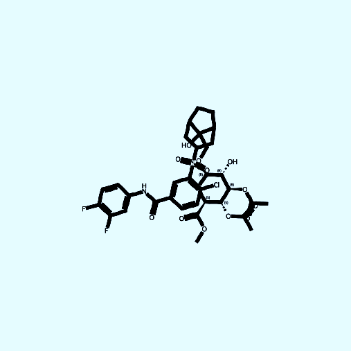 COC(=O)[C@H]1O[C@@H](OCC2(O)C3CCC2CC(S(=O)(=O)c2cc(C(=O)Nc4ccc(F)c(F)c4)ccc2Cl)C3)[C@H](O)[C@@H](OC(C)=O)[C@@H]1OC(C)=O